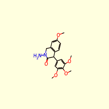 COc1ccc2c(c1)CN(N)C(=O)C2c1cc(OC)c(OC)c(OC)c1